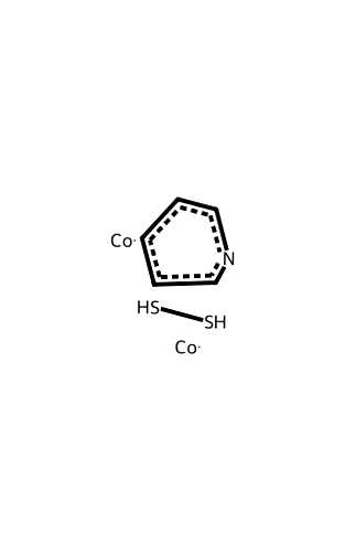 SS.[Co].[Co].c1ccncc1